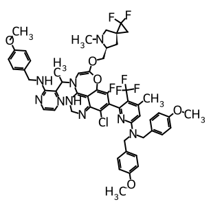 COc1ccc(CNc2nccnc2C(C)N2C=C(OC[C@@H]3C[C@]4(CN3C)CC4(F)F)Oc3c(F)c(-c4nc(N(Cc5ccc(OC)cc5)Cc5ccc(OC)cc5)cc(C)c4C(F)(F)F)c(Cl)c4c3=C2NCN=4)cc1